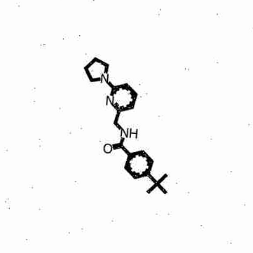 CC(C)(C)c1ccc(C(=O)NCc2cccc(N3CCCC3)n2)cc1